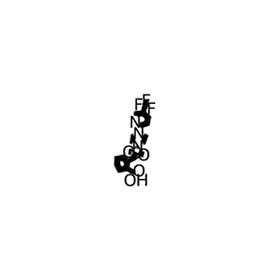 O=C(O)c1ccccc1CS(=O)(=O)N1CCN(c2ccc(C(F)(F)F)cn2)CC1